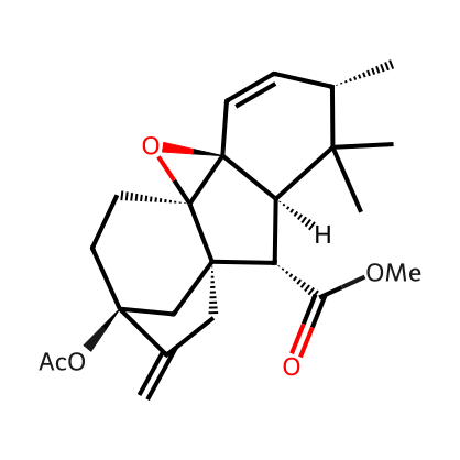 C=C1C[C@]23C[C@@]1(OC(C)=O)CC[C@@]21O[C@]12C=C[C@H](C)C(C)(C)[C@H]2[C@@H]3C(=O)OC